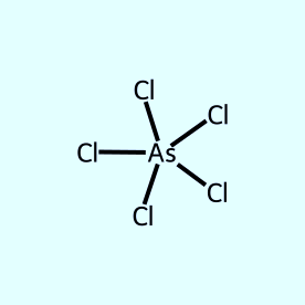 Cl[As](Cl)(Cl)(Cl)Cl